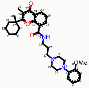 COc1ccccc1N1CCN(CCCNC(=O)c2cccc3c(=O)c(C)c(C4(C)CCCCC4)oc23)CC1